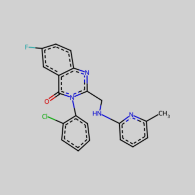 Cc1cccc(NCc2nc3ccc(F)cc3c(=O)n2-c2ccccc2Cl)n1